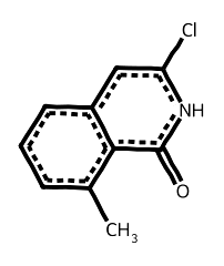 Cc1cccc2cc(Cl)[nH]c(=O)c12